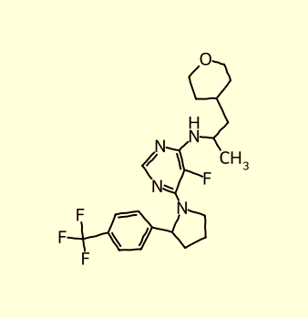 CC(CC1CCOCC1)Nc1ncnc(N2CCCC2c2ccc(C(F)(F)F)cc2)c1F